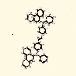 C1=CC2=C(N(c3ccccc3)c3ccc(C=Cc4ccc(N(c5ccccc5)c5cc6c(c7ccccc57)CC=CC6)cc4)cc3)C=C3CC=CCC3C2=CC1